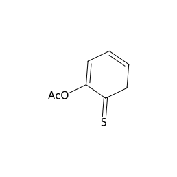 CC(=O)OC1=CC=CCC1=S